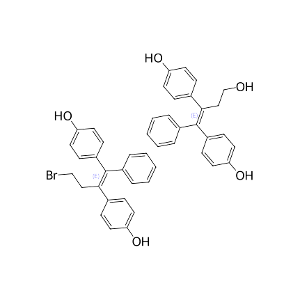 OCC/C(=C(/c1ccccc1)c1ccc(O)cc1)c1ccc(O)cc1.Oc1ccc(/C(CCBr)=C(\c2ccccc2)c2ccc(O)cc2)cc1